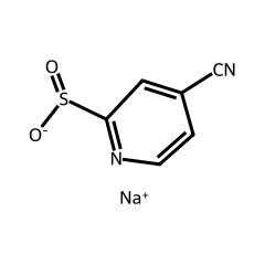 N#Cc1ccnc(S(=O)[O-])c1.[Na+]